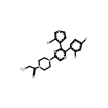 O=C(CC(F)(F)F)N1CCN(c2cnc(-c3ccc(F)cc3F)c(-c3ccncc3Cl)n2)CC1